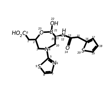 O=C(O)CC1CN(c2nccs2)C[C@H](NC(=O)Cc2cccs2)B(O)O1